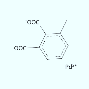 Cc1cccc(C(=O)[O-])c1C(=O)[O-].[Pd+2]